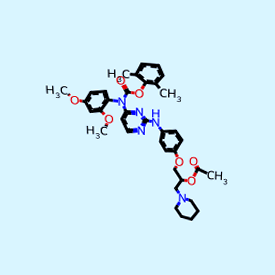 COc1ccc(N(C(=O)Oc2c(C)cccc2C)c2ccnc(Nc3ccc(OCC(CN4CCCCC4)OC(C)=O)cc3)n2)c(OC)c1